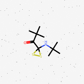 CC(C)(C)NC1(C(=O)C(C)(C)C)SS1